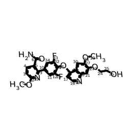 COc1ccc(C(N)=O)c(-c2cc(F)c(Oc3ccnc4cc(OCCO)c(OC)cc34)c(F)c2)n1